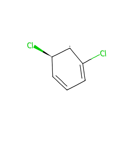 ClC1=CC=C[C@@H](Cl)[CH]1